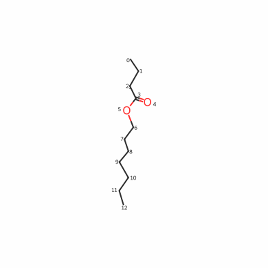 CC[CH]C(=O)OCCCCCCC